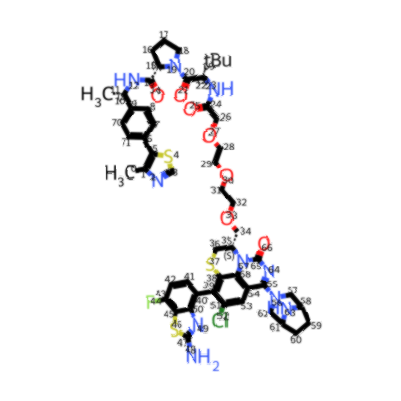 Cc1ncsc1-c1ccc([C@H](C)NC(=O)[C@@H]2CCCN2C(=O)[C@@H](NC(=O)COCCOCCOC[C@H]2CSc3c(-c4ccc(F)c5sc(N)nc45)c(Cl)cc4c(N5CC6CCC(C5)N6)nc(=O)n2c34)C(C)(C)C)cc1